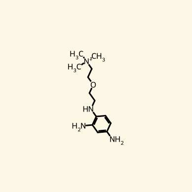 C[N+](C)(C)CCOCCNc1ccc(N)cc1N